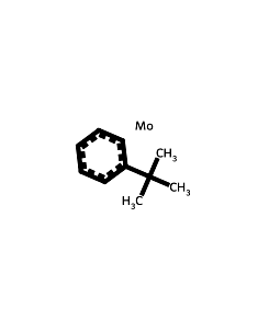 CC(C)(C)c1ccccc1.[Mo]